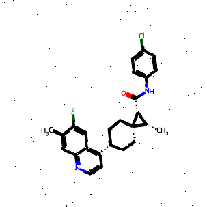 Cc1cc2nccc([C@H]3CC[C@]4(CC3)[C@H](C(=O)Nc3ccc(Cl)cc3)[C@@H]4C)c2cc1F